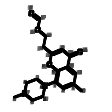 Cc1cc(N2CCN(C)CC2)c2oc(CCOC=O)cc(=O)c2c1